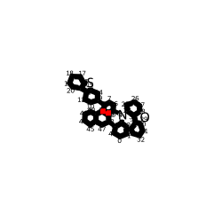 c1ccc(N(c2ccc(-c3ccc4c(c3)sc3ccccc34)cc2)c2cccc3oc4ccccc4c23)c(-c2ccc3ccccc3c2)c1